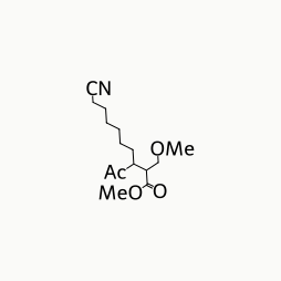 COCC(C(=O)OC)C(CCCCCCC#N)C(C)=O